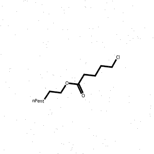 CCCCCCCOC(=O)CCCCCl